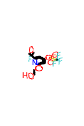 O=S(=O)(Oc1cc(OCCO)nc(C2(F)COC2)c1)C(F)(F)F